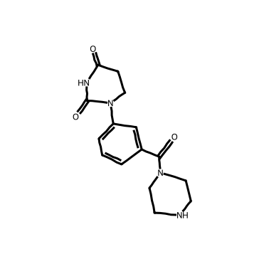 O=C1CCN(c2cccc(C(=O)N3CCNCC3)c2)C(=O)N1